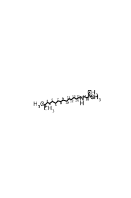 CC(C)CCCCCCCCCCCCCNCCN(C)C